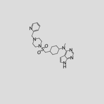 CN(c1ncnc2[nH]ccc12)C1CCC(CS(=O)(=O)N2CCN(Cc3ccccn3)CC2)CC1